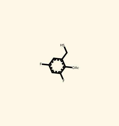 CC(=O)Oc1c(F)cc(F)cc1CS